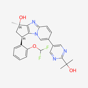 CC(C)(O)c1ncc(-c2ccc3nc4c(n3c2)[C@@H](c2ccccc2OC(F)F)C[C@@]4(C)O)cn1